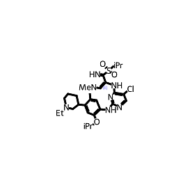 CCN1CCCC(c2cc(OC(C)C)c(Nc3ncc(Cl)c(N/C(=C/NC)C(=N)S(=O)(=O)C(C)C)n3)cc2C)C1